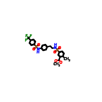 COC(=O)c1cc(S(=O)(=O)NCCc2ccc(NS(=O)(=O)c3ccc(C(F)(F)F)cc3)cc2)ccc1C